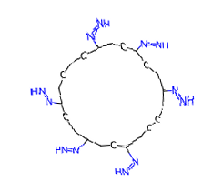 N=NC1CCCCC(N=N)CCC(N=N)CCC(N=N)CCCCC(N=N)CCC(N=N)CC1